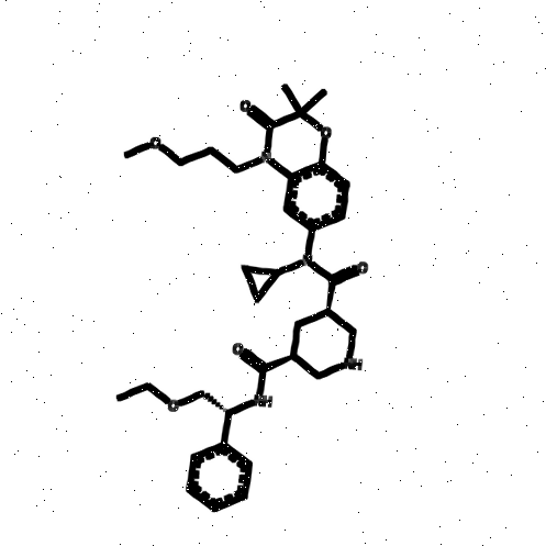 CCOC[C@H](NC(=O)[C@@H]1CNC[C@H](C(=O)N(c2ccc3c(c2)N(CCCOC)C(=O)C(C)(C)O3)C2CC2)C1)c1ccccc1